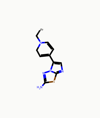 CC(C)CN1C=CC(c2cnc3sc(N)nn23)=CC1